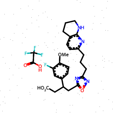 COc1ccc(C(CC(=O)O)Cc2nc(CCCc3ccc4c(n3)NCCC4)no2)cc1F.O=C(O)C(F)(F)F